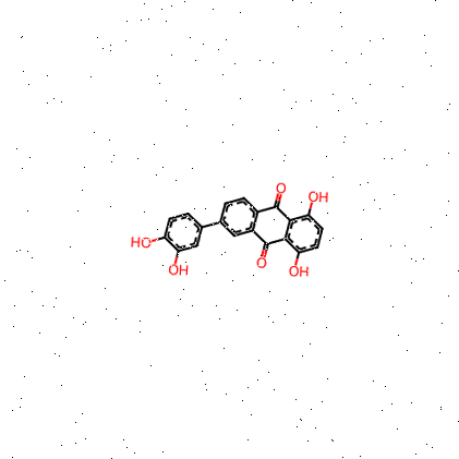 O=C1c2ccc(-c3ccc(O)c(O)c3)cc2C(=O)c2c(O)ccc(O)c21